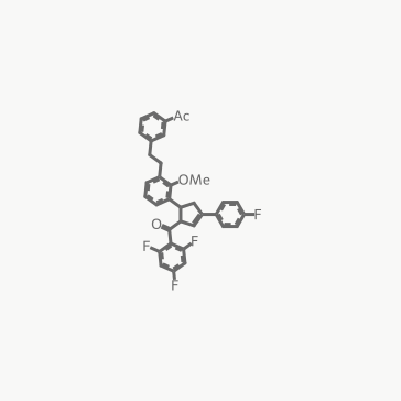 COc1c(CCc2cccc(C(C)=O)c2)cccc1C1CC(c2ccc(F)cc2)=CC1C(=O)c1c(F)cc(F)cc1F